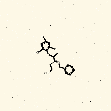 CC(Oc1c(Cl)cc(Br)cc1Cl)[C@H](CCC=O)OCc1ccccc1